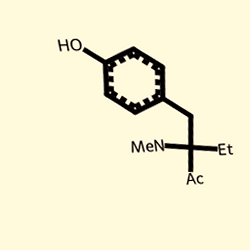 CCC(Cc1ccc(O)cc1)(NC)C(C)=O